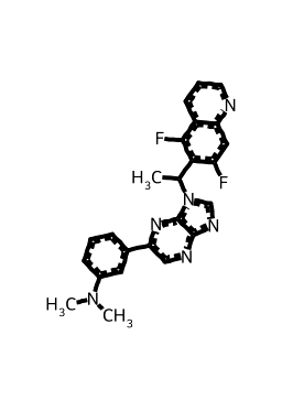 CC(c1c(F)cc2ncccc2c1F)n1cnc2ncc(-c3cccc(N(C)C)c3)nc21